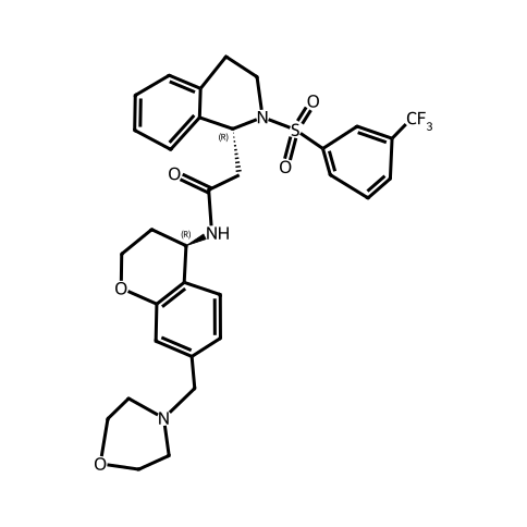 O=C(C[C@@H]1c2ccccc2CCN1S(=O)(=O)c1cccc(C(F)(F)F)c1)N[C@@H]1CCOc2cc(CN3CCOCC3)ccc21